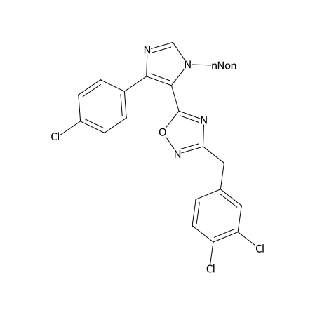 CCCCCCCCCn1cnc(-c2ccc(Cl)cc2)c1-c1nc(Cc2ccc(Cl)c(Cl)c2)no1